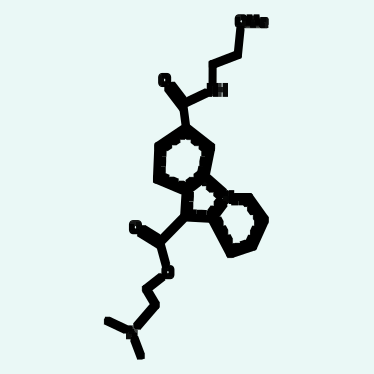 COCCNC(=O)c1ccc2c(C(=O)OCCN(C)C)c3ccccn3c2c1